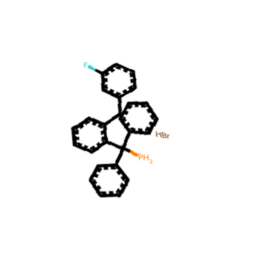 Br.Fc1cccc(Cc2ccccc2C(P)(c2ccccc2)c2ccccc2)c1